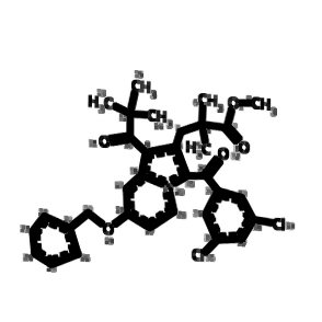 COC(=O)C(C)(C)Cc1c(C(=O)C(C)(C)C)c2cc(OCc3ccccc3)ccn2c1C(=O)c1cc(Cl)cc(Cl)c1